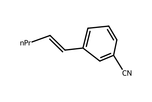 CCC/C=C/c1cccc(C#N)c1